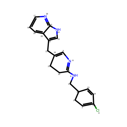 ClC1=CCC(CNC2=NC=C(Cc3c[nH]c4ncccc34)CC2)C=C1